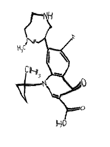 CN1CCNCC1c1cc2c(cc1F)c(=O)c(C(=O)O)cn2C1(C)CC1